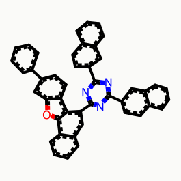 c1ccc(-c2ccc3c(c2)oc2c4ccccc4cc(-c4nc(-c5ccc6ccccc6c5)nc(-c5ccc6ccccc6c5)n4)c32)cc1